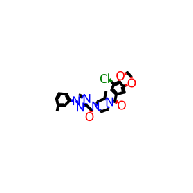 Cc1cccc(-n2cnc(C(=O)N3CCN(C(=O)c4cc(Cl)c5c(c4)OCCO5)C(C)C3)n2)c1